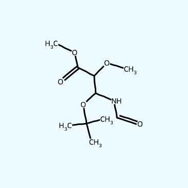 COC(=O)C(OC)C(NC=O)OC(C)(C)C